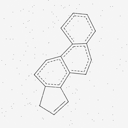 C1=Cc2c(ccc3c2ccc2ccccc23)C1